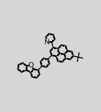 CC(C)(C)c1cc2ccc3c(-c4ccc(-c5cccc6c5oc5ccccc56)cc4)cc(-c4ccccn4)c4ccc(c1)c2c34